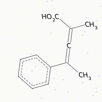 CC(=C=C(C)c1ccccc1)C(=O)O